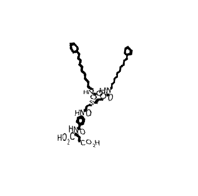 O=C(O)CC[C@H](NC(=O)c1ccc(NC(=O)CCSCC(COC(=O)NCCCCCCCCCCCC2CCCCC2)OC(=O)NCCCCCCCCCCCC2CCCCC2)cc1)C(=O)O